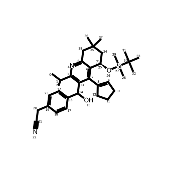 CC(C)c1nc2c(c(C3=CCCC3)c1C(O)c1ccc(CC#N)cc1)[C@H](O[Si](C)(C)C(C)(C)C)CC(C)(C)C2